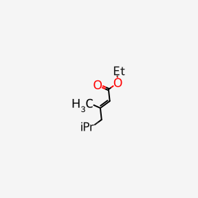 CCOC(=O)/C=C(\C)CC(C)C